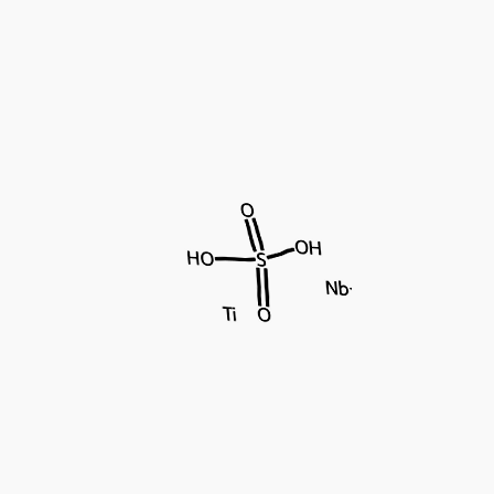 O=S(=O)(O)O.[Nb].[Ti]